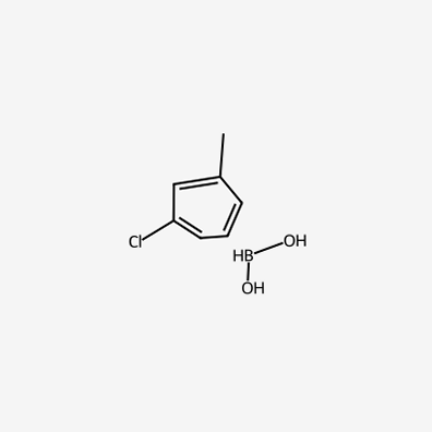 Cc1cccc(Cl)c1.OBO